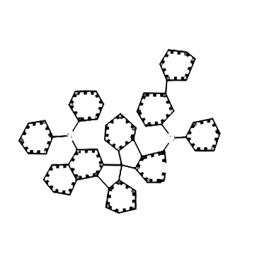 c1ccc(-c2cccc(N(c3ccccc3)c3cccc4c3-c3ccccc3C43c4ccccc4-c4c3cc(N(c3ccccc3)c3ccccc3)c3ccccc43)c2)cc1